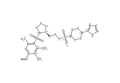 COc1cc(C)c(S(=O)(=O)N2CCC[C@H]2CCCS(=O)(=O)N2CCN(c3nccs3)CC2)c(C)c1C